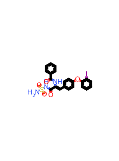 NS(=O)(=O)NC(=O)C(=Cc1ccc(Oc2ccccc2I)cc1)NC(=O)c1ccccc1